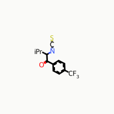 CC(C)C(N=C=S)C(=O)c1ccc(C(F)(F)F)cc1